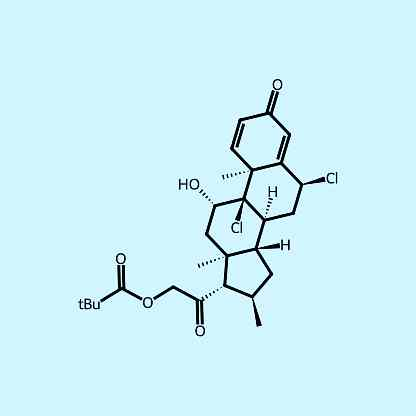 C[C@@H]1C[C@H]2[C@@H]3C[C@H](Cl)C4=CC(=O)C=C[C@]4(C)[C@@]3(Cl)[C@@H](O)C[C@]2(C)[C@H]1C(=O)COC(=O)C(C)(C)C